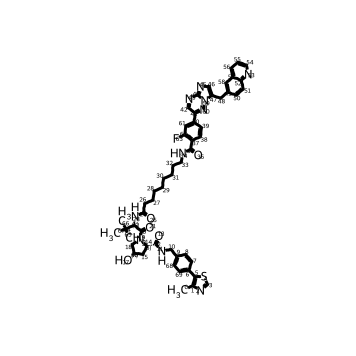 Cc1ncsc1-c1ccc(CNC(=O)[C@@H]2C[C@@H](O)CN2C(=O)[C@@H](NC(=O)CCCCCCCCNC(=O)c2ccc(-c3cnc4ncc(Cc5ccc6ncccc6c5)n4n3)cc2F)C(C)(C)C)cc1